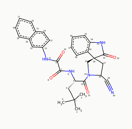 CC(C)(C)C[C@H](NC(=O)C(=O)Nc1ccc2ccccc2c1)C(=O)N1C[C@]2(CC1C#N)C(=O)Nc1ccccc12